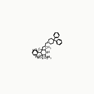 CC1NC(N)C(C)(C(=O)O)C(c2ccccc2[N+](=O)[O-])C1(CCCN1CCC(c2ccccc2)(c2ccccc2)CC1)C(=O)O